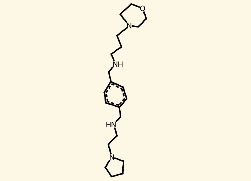 c1cc(CNCCN2CCCC2)ccc1CNCCCN1CCOCC1